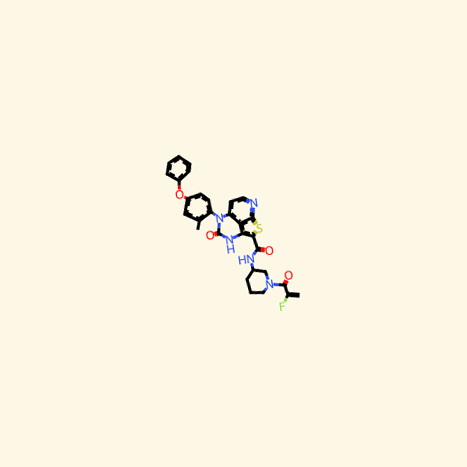 C=C(F)C(=O)N1CCCC(NC(=O)c2sc3nccc4c3c2NC(=O)N4c2ccc(Oc3ccccc3)cc2C)C1